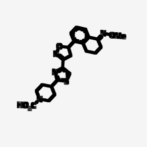 CON=C1CCCc2c1cccc2C1CC(c2csc(C3CCN(C(=O)O)CC3)n2)=NO1